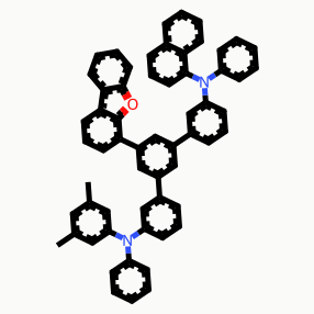 Cc1cc(C)cc(N(c2ccccc2)c2cccc(-c3cc(-c4cccc(N(c5ccccc5)c5cccc6ccccc56)c4)cc(-c4cccc5c4oc4ccccc45)c3)c2)c1